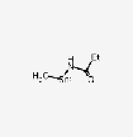 CCC(=O)[NH][Sn][CH3]